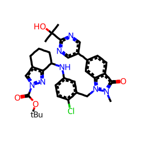 Cn1c(=O)c2ccc(-c3cnc(C(C)(C)O)nc3)cc2n1Cc1cc(NC2CCCc3cn(C(=O)OC(C)(C)C)nc32)ccc1Cl